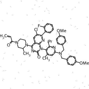 C=CC(=O)N1CCN(c2nc(=O)n(-c3c(C)cc(N(Cc4ccc(OC)cc4)Cc4ccc(OC)cc4)nc3C(C)C)c3nc(-c4ccccc4F)c(Cl)cc23)C(C)C1